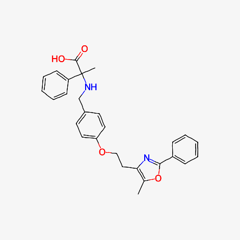 Cc1oc(-c2ccccc2)nc1CCOc1ccc(CNC(C)(C(=O)O)c2ccccc2)cc1